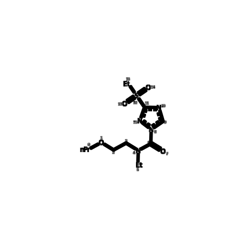 CCCOCCN(CC)C(=O)n1cnc(S(=O)(=O)CC)n1